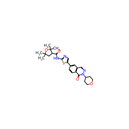 CC1(C)CC(C(=O)Nc2ncc(-c3ccc4c(=O)n(C5CCOCC5)ncc4c3)s2)C(C)(C)O1